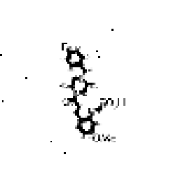 COc1ccc(CCC(=O)N2C[C@H](C)N(Cc3ccc(F)cc3)C[C@H]2C)c(OCC(=O)O)c1